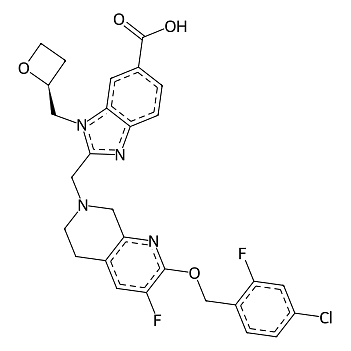 O=C(O)c1ccc2nc(CN3CCc4cc(F)c(OCc5ccc(Cl)cc5F)nc4C3)n(C[C@@H]3CCO3)c2c1